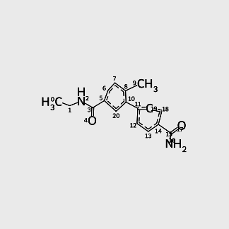 CCNC(=O)c1ccc(C)c(-c2ccc(C(N)=O)cc2)c1